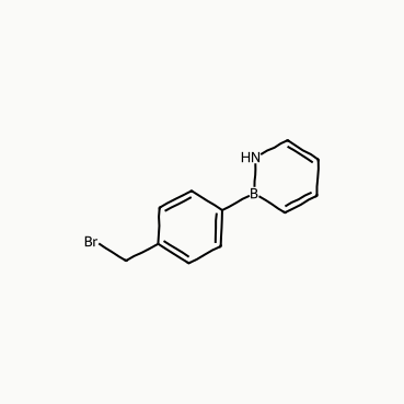 BrCc1ccc(B2C=CC=CN2)cc1